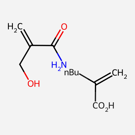 C=C(CCCC)C(=O)O.C=C(CO)C(N)=O